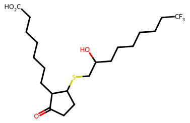 O=C(O)CCCCCCC1C(=O)CCC1SCC(O)CCCCCCC(F)(F)F